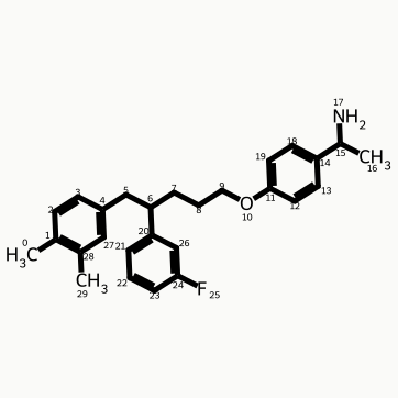 Cc1ccc(CC(CCCOc2ccc(C(C)N)cc2)c2cccc(F)c2)cc1C